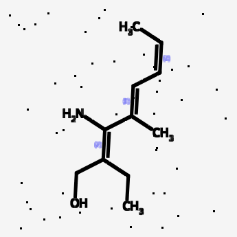 C\C=C/C=C(C)/C(N)=C(\CC)CO